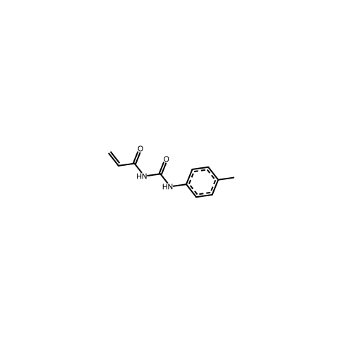 C=CC(=O)NC(=O)Nc1ccc(C)cc1